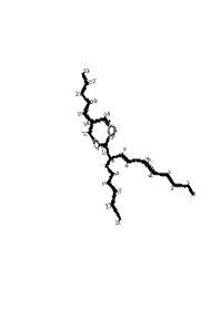 CCCCCCCCC(CCCCCC)C1OCC(CCCCC)CO1